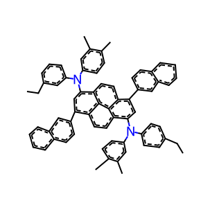 CCc1ccc(N(c2ccc(C)c(C)c2)c2cc(-c3ccc4ccccc4c3)c3ccc4c(N(c5cccc(CC)c5)c5ccc(C)c(C)c5)cc(-c5ccc6ccccc6c5)c5ccc2c3c54)cc1